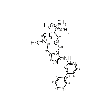 CN(C)CCc1cnc(Nc2nccc(-c3ccccc3)n2)n1COCC[Si](C)(C)C